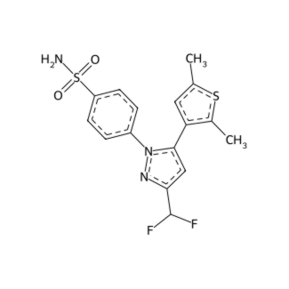 Cc1cc(-c2cc(C(F)F)nn2-c2ccc(S(N)(=O)=O)cc2)c(C)s1